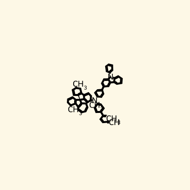 C#C/C=C\C(=C/C)c1ccc(N(c2ccc(-c3ccc4c(c3)c3ccccc3n4-c3ccccc3)cc2)[C@]2(C)C=C3C(=CC2)C2=C(C=CC(C)C2)[C@@]32C3=C(C4=C2CC=CC=C4)C(C)CC=C3)cc1